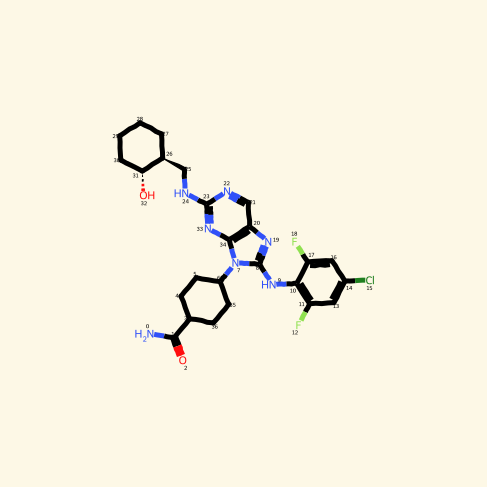 NC(=O)C1CCC(n2c(Nc3c(F)cc(Cl)cc3F)nc3cnc(NC[C@@H]4CCCC[C@H]4O)nc32)CC1